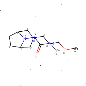 CC(C)NC(=O)CN1C2CCC1CN(CCCOC(C)C)C2